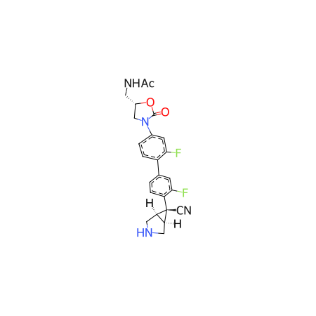 CC(=O)NC[C@H]1CN(c2ccc(-c3ccc([C@@]4(C#N)[C@@H]5CNC[C@@H]54)c(F)c3)c(F)c2)C(=O)O1